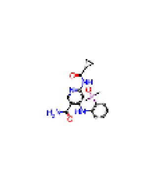 CP(C)(=O)c1ccccc1Nc1cc(NC(=O)C2CC2)ncc1C(N)=O